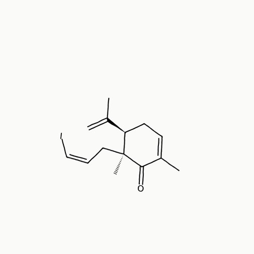 C=C(C)[C@H]1CC=C(C)C(=O)[C@@]1(C)C/C=C\I